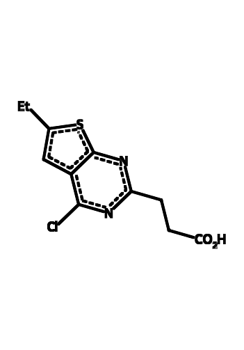 CCc1cc2c(Cl)nc(CCC(=O)O)nc2s1